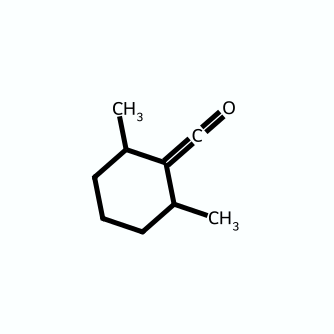 CC1CCCC(C)C1=C=O